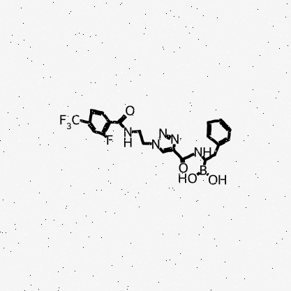 O=C(NC(Cc1ccccc1)B(O)O)c1cn(CCNC(=O)c2ccc(C(F)(F)F)cc2F)nn1